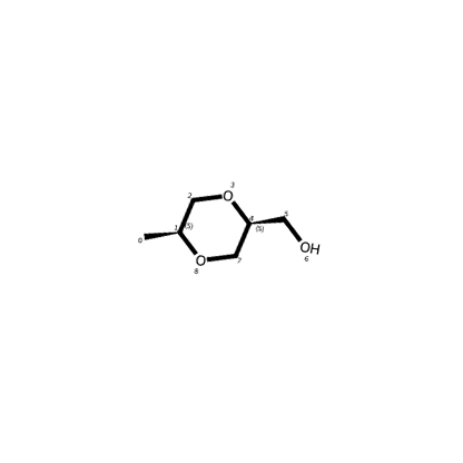 C[C@H]1CO[C@@H](CO)CO1